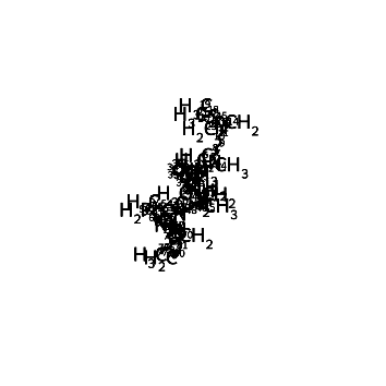 C=C(CN(C)C(=C)CCCCCN1C(=C)CC(C(CC)CC)C1=C)NCC(=C)N(C)C(Cc1ccccc1)C(=C)NCC(=C)P(C)CCCC(=C)NC1CCc2c(C)c(P)cc3nc4c(c1c23)CN1C(=C)C2=C(C=C41)C(CC)C(=C)CC2